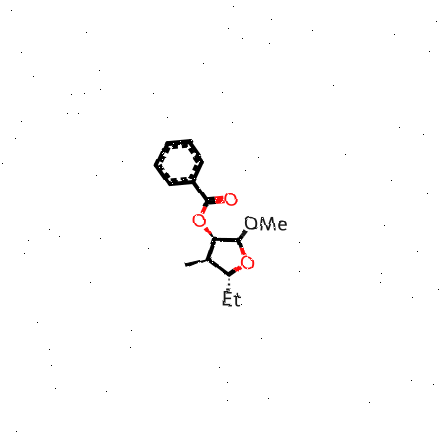 CC[C@H]1OC(OC)[C@H](OC(=O)c2ccccc2)[C@@H]1C